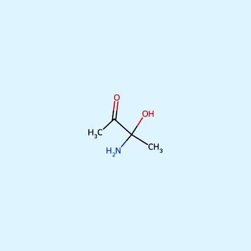 CC(=O)C(C)(N)O